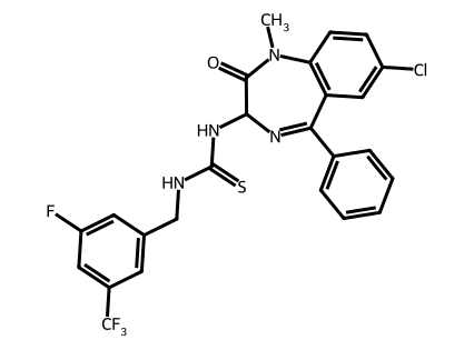 CN1C(=O)C(NC(=S)NCc2cc(F)cc(C(F)(F)F)c2)N=C(c2ccccc2)c2cc(Cl)ccc21